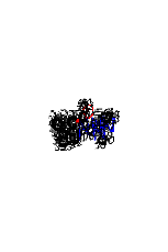 c1ccc(-n2c3ccc(N(c4ccc5c(c4)C4(c6ccccc6-c6ccccc64)c4ccccc4-5)c4ccc5c(c4)oc4ccccc45)cc3n3c4ccccc4nc23)cc1